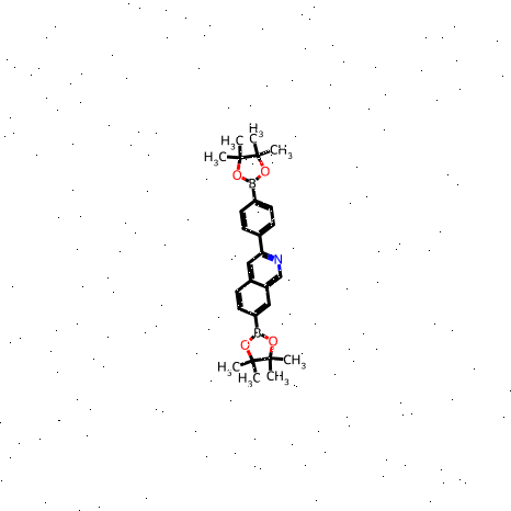 CC1(C)OB(c2ccc(-c3cc4ccc(B5OC(C)(C)C(C)(C)O5)cc4cn3)cc2)OC1(C)C